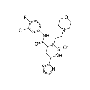 O=C(Nc1ccc(F)c(Cl)c1)C1CC(c2nccs2)N[S+]([O-])N1CCN1CCOCC1